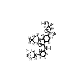 C[C@@H]1CN(c2cccc(NC(=O)c3ccc(S(=O)(=O)CC(C)(C)O)cc3N3CCC4(CC3)CC4)n2)CCO1